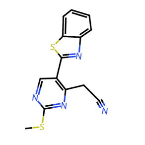 CSc1ncc(-c2nc3ccccc3s2)c(CC#N)n1